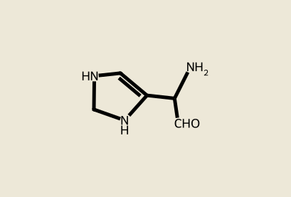 NC(C=O)C1=CNCN1